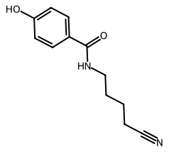 N#CCCCCNC(=O)c1ccc(O)cc1